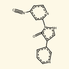 [C-]#[N+]c1ccnc(-n2[nH]cc(-c3cccnc3)c2=O)c1